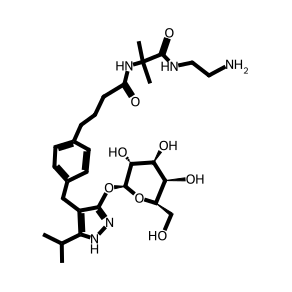 CC(C)c1[nH]nc(O[C@@H]2O[C@H](CO)[C@H](O)[C@H](O)[C@H]2O)c1Cc1ccc(CCCC(=O)NC(C)(C)C(=O)NCCN)cc1